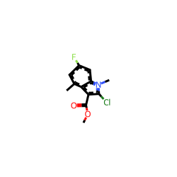 COC(=O)c1c(Cl)n(C)c2cc(F)cc(C)c12